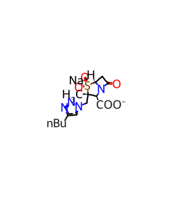 CCCCc1cn(C[C@@]2(C)[C@H](C(=O)[O-])N3C(=O)C[C@@H]3S2(=O)=O)nn1.[Na+]